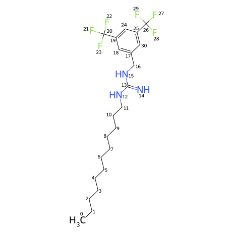 CCCCCCCCCCCCNC(=N)NCc1cc(C(F)(F)F)cc(C(F)(F)F)c1